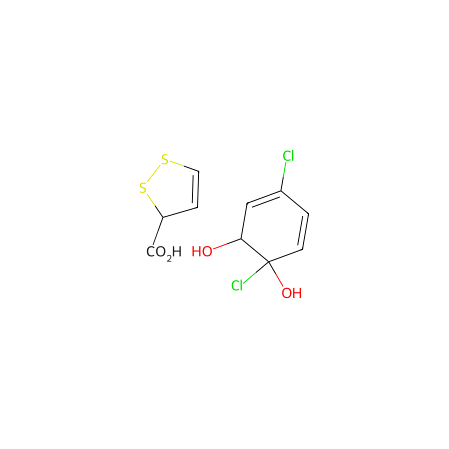 O=C(O)C1C=CSS1.OC1C=C(Cl)C=CC1(O)Cl